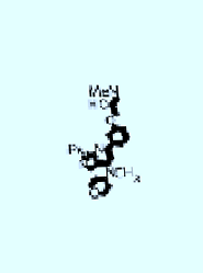 CNCC(O)COc1cccc(-c2cc(N(C)C3CCOCC3)c3cnn(C(C)C)c3n2)c1